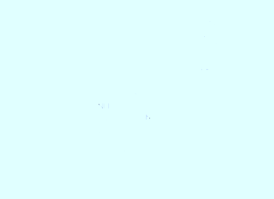 CC(C)c1c(C(=O)Nc2ccccc2)c(-c2ccccc2)c(-c2ccc(F)cc2)n1CCC(O)CC(O)CC(=O)C(C)(C)C